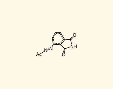 CC(=O)N=Nc1cccc2c1C(=O)NC2=O